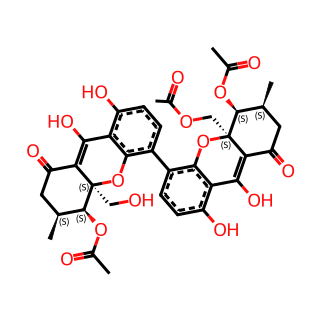 CC(=O)OC[C@@]12Oc3c(-c4ccc(O)c5c4O[C@]4(CO)C(=C5O)C(=O)C[C@H](C)[C@@H]4OC(C)=O)ccc(O)c3C(O)=C1C(=O)C[C@H](C)[C@@H]2OC(C)=O